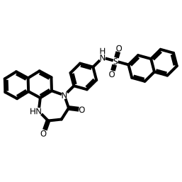 O=C1CC(=O)N(c2ccc(NS(=O)(=O)c3ccc4ccccc4c3)cc2)c2ccc3ccccc3c2N1